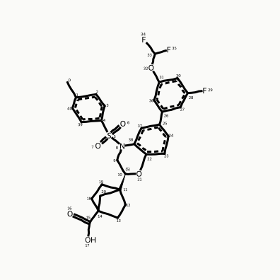 Cc1ccc(S(=O)(=O)N2C[C@H](C34CCC(C(=O)O)(CC3)C4)Oc3ccc(-c4cc(F)cc(OC(F)F)c4)cc32)cc1